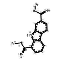 CC(C)NC(=N)c1ccc2c(c1)[nH]c1c(C(=N)NC(C)C)cccc12